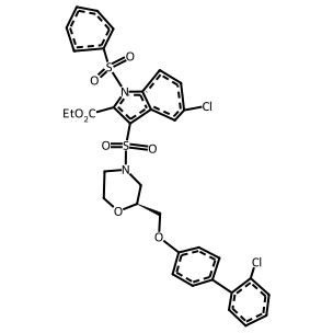 CCOC(=O)c1c(S(=O)(=O)N2CCO[C@H](COc3ccc(-c4ccccc4Cl)cc3)C2)c2cc(Cl)ccc2n1S(=O)(=O)c1ccccc1